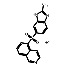 Cl.O=S(=O)(c1ccc2nc(C(F)(F)F)[nH]c2c1)c1cccc2cnccc12